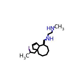 CNCCN/C=C1\CCCCCC2(C[C@@H](C)I)CC=CC12